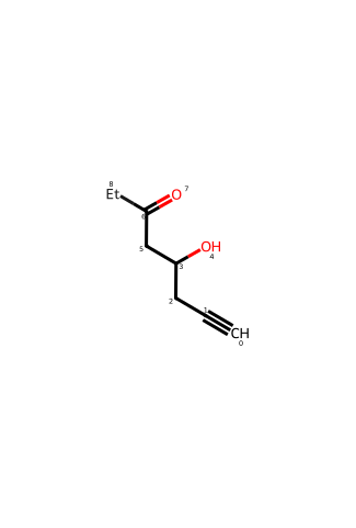 C#CCC(O)CC(=O)CC